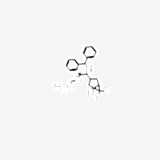 CCOC(=O)C(N=C(c1ccccc1)c1ccccc1)C1CC2[C@H](C1)C2(F)F